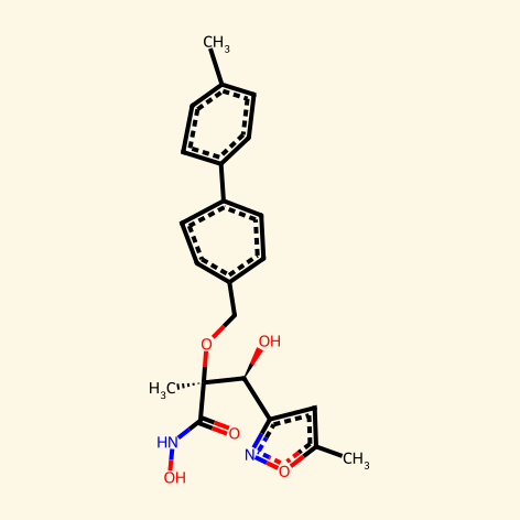 Cc1ccc(-c2ccc(CO[C@](C)(C(=O)NO)[C@@H](O)c3cc(C)on3)cc2)cc1